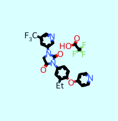 CCc1cc(N2C(=O)CN(c3cncc(C(F)(F)F)c3)C2=O)ccc1Oc1ccncc1.O=C(O)C(F)(F)F